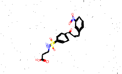 O=C(O)CCNS(=O)(=O)c1ccc(C(=O)/C=C\c2cccc([N+](=O)[O-])c2)cc1